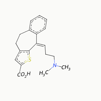 CN(C)CC/C=C1/c2ccccc2CCc2cc(C(=O)O)sc21